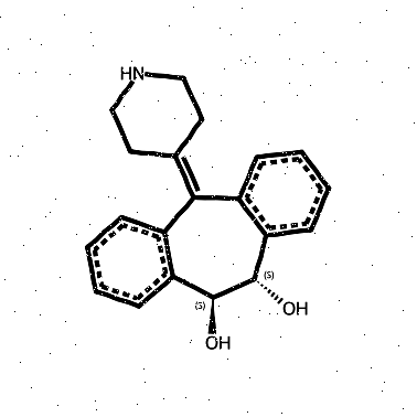 O[C@H]1c2ccccc2C(=C2CCNCC2)c2ccccc2[C@@H]1O